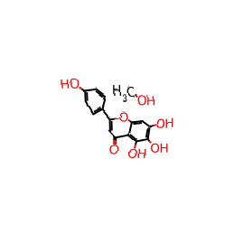 CO.O=c1cc(-c2ccc(O)cc2)oc2cc(O)c(O)c(O)c12